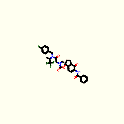 CC(N(Cc1ccc(F)cc1)C(=O)CN1C[C@]2(CCC3C(=O)C(NC(=O)c4ccccc4)=CC=C32)OC1=O)C(F)(F)F